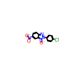 O=[N+]([O-])c1ccc2nn(-c3ccc(Cl)cc3)[n+]([O-])c2c1